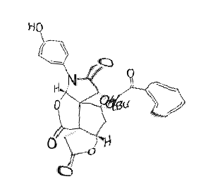 CC(C)(C)[C@]1(O)C[C@@H]2OC(=O)C[C@@]23C(=O)O[C@@H]2N(c4ccc(O)cc4)C(=O)[C@H](OC(=O)c4ccccc4)C213